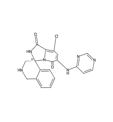 O=C1N[C@@]2(CNCc3ccccc32)n2c1c(Cl)cc(Nc1ccncn1)c2=O